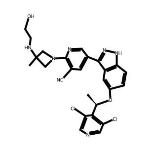 C[C@@H](Oc1ccc2[nH]nc(-c3cnc(N4CC(C)(NCCO)C4)c(C#N)c3)c2c1)c1c(Cl)cncc1Cl